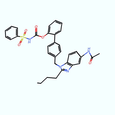 CCCCc1nc2cc(NC(C)=O)ccc2n1Cc1ccc(-c2ccccc2OC(=O)NS(=O)(=O)c2ccccc2)cc1